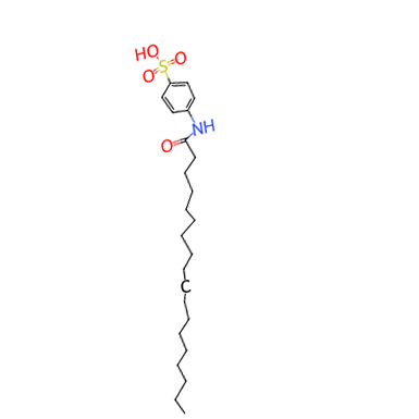 CCCCCCCCCCCCCCCCCC(=O)Nc1ccc(S(=O)(=O)O)cc1